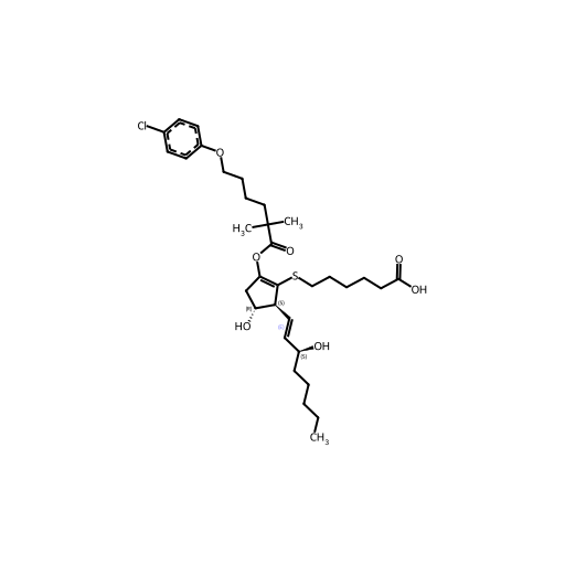 CCCCC[C@H](O)/C=C/[C@@H]1C(SCCCCCC(=O)O)=C(OC(=O)C(C)(C)CCCCOc2ccc(Cl)cc2)C[C@H]1O